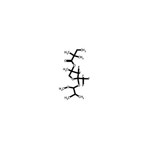 CCC(C)(C)C(=O)OC1(C)COC(OC(OC)C(C)C)(C(F)(F)F)C1(F)F